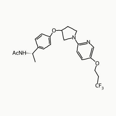 CC(=O)N[C@@H](C)c1ccc(OC2CCN(c3ccc(OCCC(F)(F)F)cn3)C2)cc1